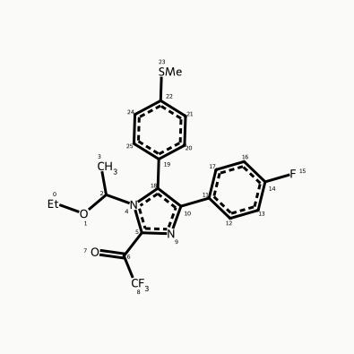 CCOC(C)n1c(C(=O)C(F)(F)F)nc(-c2ccc(F)cc2)c1-c1ccc(SC)cc1